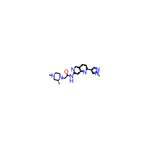 C[C@H]1CN(C)CCN1CC(=O)Nc1cc2nc(-c3cnn(C)c3)ccc2cn1